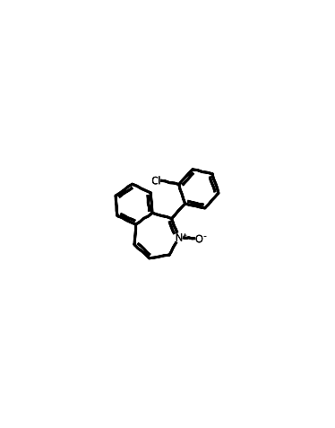 [O-][N+]1=C(c2ccccc2Cl)c2ccccc2C=CC1